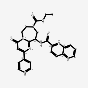 CCOC(=O)N1CCn2c(nc(-c3ccncc3)cc2=O)C(NC(=O)c2ccc3ncccc3n2)C1